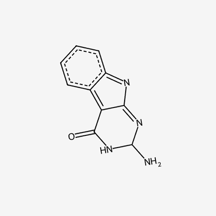 NC1N=C2N=c3ccccc3=C2C(=O)N1